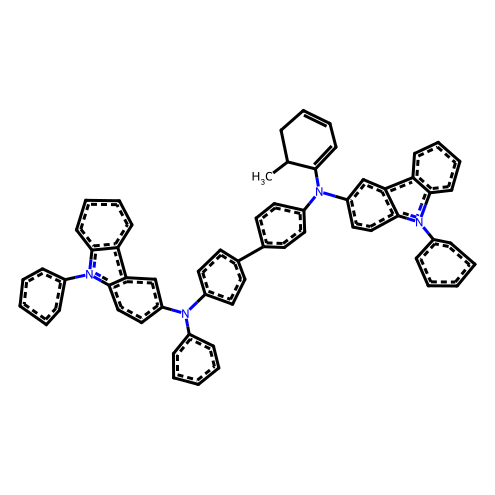 CC1CC=CC=C1N(c1ccc(-c2ccc(N(c3ccccc3)c3ccc4c(c3)c3ccccc3n4-c3ccccc3)cc2)cc1)c1ccc2c(c1)c1ccccc1n2-c1ccccc1